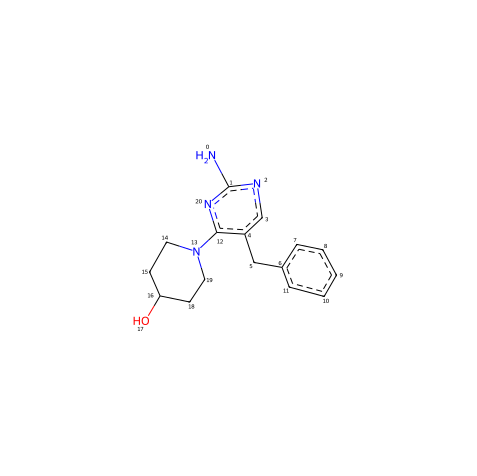 Nc1ncc(Cc2ccccc2)c(N2CCC(O)CC2)n1